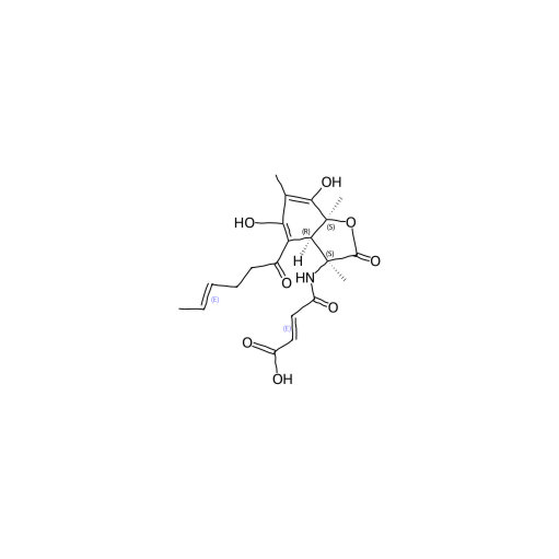 C/C=C/CCC(=O)C1=C(O)C(C)=C(O)[C@@]2(C)OC(=O)[C@@](C)(NC(=O)/C=C/C(=O)O)[C@@H]12